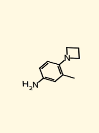 Cc1cc(N)ccc1N1CCC1